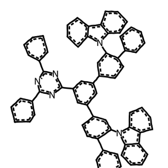 c1ccc(-c2nc(-c3ccccc3)nc(-c3cc(-c4ccc(-c5ccccc5)c(-n5c6ccccc6c6ccccc65)c4)cc(-c4ccc(-c5ccccc5)c(-n5c6ccccc6c6ccccc65)c4)c3)n2)cc1